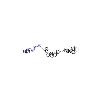 CCC/C=C\C/C=C\C/C=C\C/C=C\C/C=C\CCCC(=O)CCOC1=Nc2cc(OCCCCN3CCN(c4cccc(Cl)c4Cl)CC3)ccc2CC1